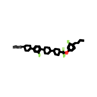 C=CCCc1ccc(OC(F)(F)C2CCC(C3CCC(c4ccc(C5CCC(CCCCC)CC5)cc4F)CC3)CC2)cc1F